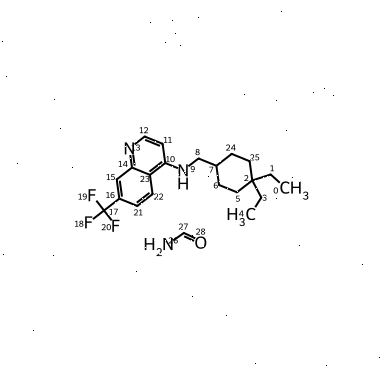 CCC1(CC)CCC(CNc2ccnc3cc(C(F)(F)F)ccc23)CC1.NC=O